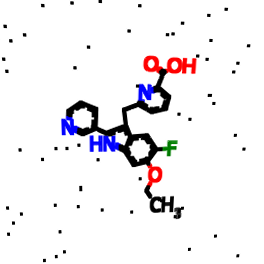 CCOc1cc2[nH]c(-c3cccnc3)c(Cc3cccc(C(=O)O)n3)c2cc1F